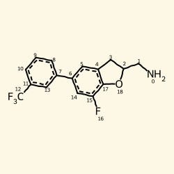 NCC1Cc2cc(-c3cccc(C(F)(F)F)c3)cc(F)c2O1